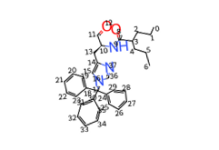 CCCC(CCC)C(=O)N[C@H](C=O)Cc1cn(C(c2ccccc2)(c2ccccc2)c2ccccc2)cn1